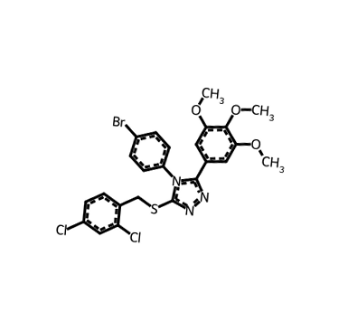 COc1cc(-c2nnc(SCc3ccc(Cl)cc3Cl)n2-c2ccc(Br)cc2)cc(OC)c1OC